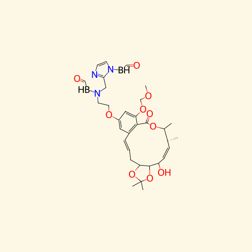 COCOc1cc(OCCN(BC=O)Cc2nccn2BC=O)cc2c1C(=O)OC(C)[C@H](C)/C=C\C(O)C1OC(C)(C)OC1C/C=C/2